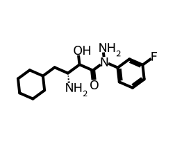 N[C@H](CC1CCCCC1)C(O)C(=O)N(N)c1cccc(F)c1